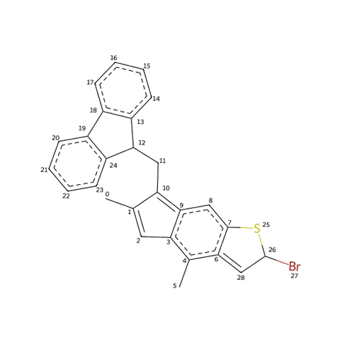 CC1=Cc2c(C)c3c(cc2=C1CC1c2ccccc2-c2ccccc21)SC(Br)C=3